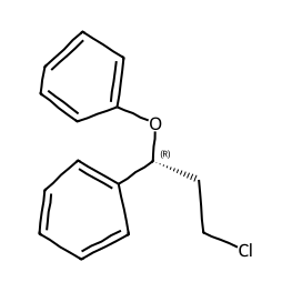 ClCC[C@@H](Oc1ccccc1)c1ccccc1